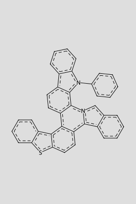 c1ccc(-n2c3ccccc3c3ccc4c5c(ccc6sc7ccccc7c65)c5c6ccccc6cn5c4c32)cc1